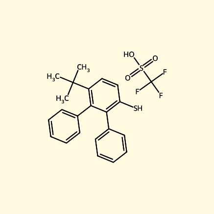 CC(C)(C)c1ccc(S)c(-c2ccccc2)c1-c1ccccc1.O=S(=O)(O)C(F)(F)F